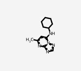 Cc1cc(NC2CCCCC2)n2ncnc2n1